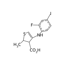 CC1SC=C(Nc2ccc(I)cc2F)C1C(=O)O